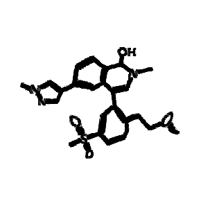 COCCc1ccc(S(C)(=O)=O)cc1C1=CN(C)C(O)c2ccc(-c3cnn(C)c3)cc21